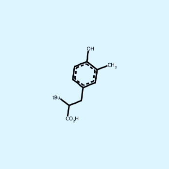 Cc1cc(CC(C(=O)O)C(C)(C)C)ccc1O